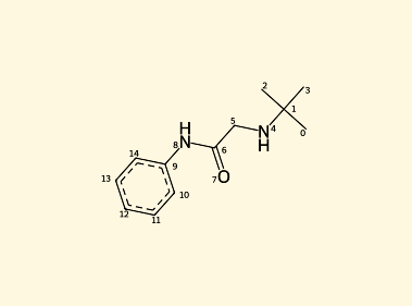 CC(C)(C)NCC(=O)Nc1ccccc1